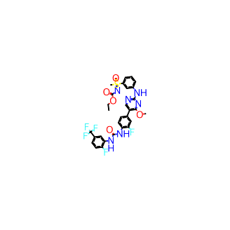 CCOC(=O)N=S(C)(=O)c1cccc(Nc2ncc(-c3ccc(NC(=O)Nc4cc(C(F)(F)F)ccc4F)c(F)c3)c(OC)n2)c1